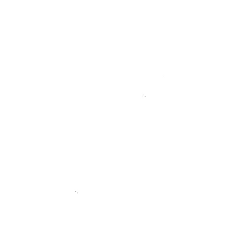 CC(O)CCCNCCCCCCCCCCCCCCCCN